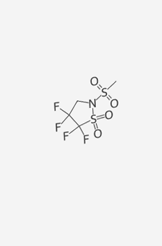 CS(=O)(=O)N1CC(F)(F)C(F)(F)S1(=O)=O